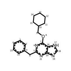 c1ccc(Cc2nc(OCC3CCCCC3)c3[nH]cnc3n2)cc1